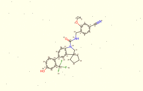 COc1cc(C#N)ccc1CNC(=O)N1CC2(CCCC2)c2cc(-c3ccc(O)cc3C(F)(F)F)ccc21